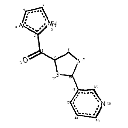 O=C(c1ncc[nH]1)C1CSC(c2cccnc2)S1